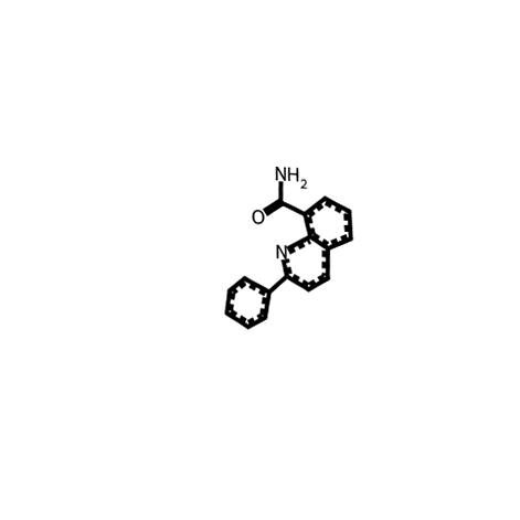 NC(=O)c1cccc2ccc(-c3ccccc3)nc12